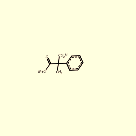 COC(=O)C(C)(C(=O)O)c1ccccc1